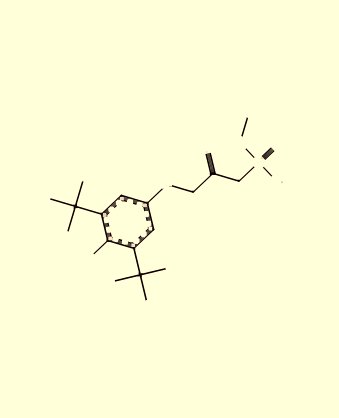 COP(=O)(O)CC(=O)CSc1cc(C(C)(C)C)c(O)c(C(C)(C)C)c1